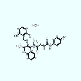 CC(=O)c1ccc(NC(=O)NCC(=O)N(C)c2c(OCc3c(Cl)cccc3Cl)c(C)nc3ccccc23)cc1.Cl